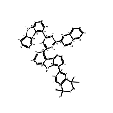 CC1(C)CCC(C)(C)c2cc(-c3cccc4c3oc3cccc(-c5nc(-c6ccc7ccccc7c6)nc(-c6cccc7sc8ccccc8c67)n5)c34)ccc21